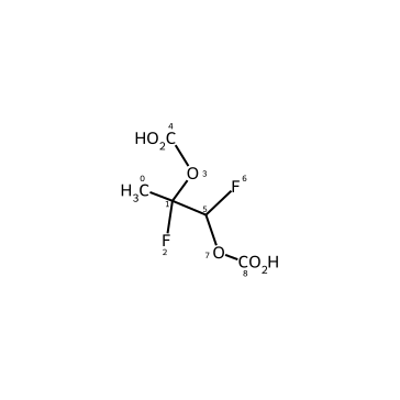 CC(F)(OC(=O)O)C(F)OC(=O)O